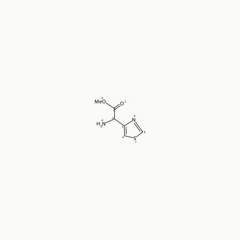 COC(=O)C(N)c1cscn1